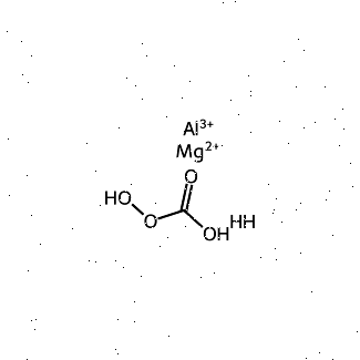 O=C(O)OO.[Al+3].[HH].[Mg+2]